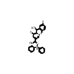 CC(C)(C)C(O[SiH](c1ccccc1)c1ccccc1)c1cnc(C(O)c2cc(F)ccc2F)c(F)c1